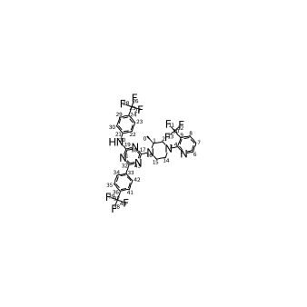 C[C@H]1CN(c2ncccc2C(F)(F)F)CCN1c1nc(Nc2ccc(C(F)(F)F)cc2)nc(-c2ccc(C(F)(F)F)cc2)n1